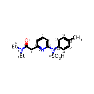 CCN(CC)C(=O)Cc1cccc(N(c2ccc(C)cc2)S(=O)(=O)O)n1